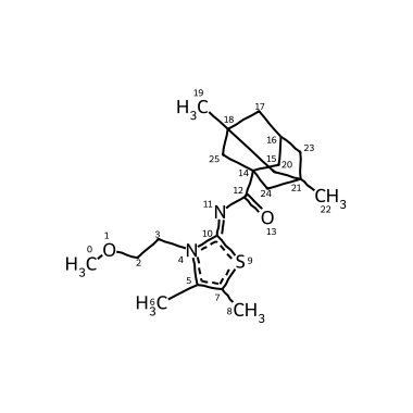 COCCn1c(C)c(C)sc1=NC(=O)C12CC3CC(C)(CC(C)(C3)C1)C2